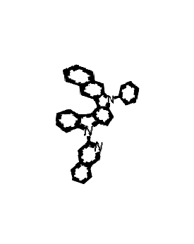 c1ccc(-n2c3cc4ccccc4cc3c3c4c5ccccc5n(-c5cc6ccccc6cn5)c4ccc32)cc1